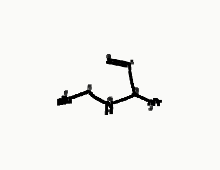 C=CC(CCC)NCCCCC